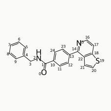 O=C(NCc1ccccc1)c1ccc(-c2nccc3sccc23)cc1